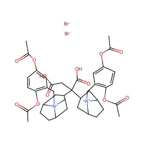 CC(=O)Oc1ccc(OC(C)=O)c(C[N+]2(C)C3CCC2CC(C(CC(=O)O)(C(=O)O)C2CC4CCC(C2)[N+]4(C)Cc2cc(OC(C)=O)ccc2OC(C)=O)C3)c1.[Br-].[Br-]